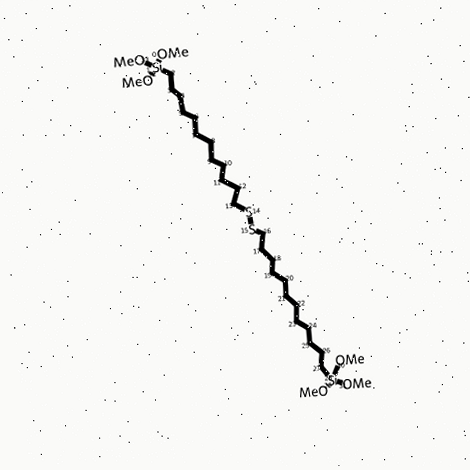 CO[Si](CCCCCCCCCCCCSSCCCCCCCCCCCC[Si](OC)(OC)OC)(OC)OC